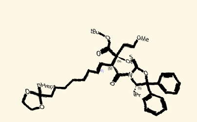 CCCCCCCC1(CCCCCC/C=C/[C@H](C(=O)N2C(=S)OC(c3ccccc3)(c3ccccc3)[C@@H]2C(C)C)[C@@](O)(CCOC)C(=O)OC(C)(C)C)OCCO1